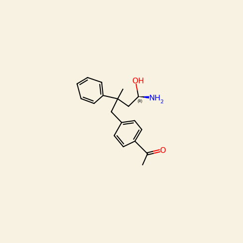 CC(=O)c1ccc(CC(C)(C[C@H](N)O)c2ccccc2)cc1